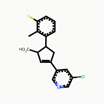 Cc1c(F)cccc1C1CC(c2cncc(Cl)c2)=CC1C(=O)O